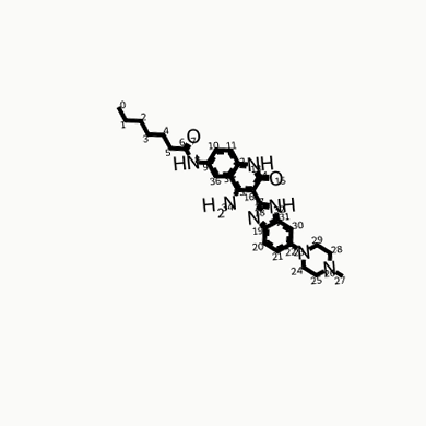 CCCCCCC(=O)Nc1ccc2[nH]c(=O)c(-c3nc4ccc(N5CCN(C)CC5)cc4[nH]3)c(N)c2c1